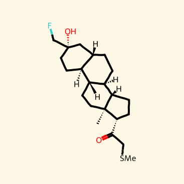 CSCC(=O)[C@H]1CC[C@H]2[C@@H]3CC[C@H]4C[C@](O)(CF)CC[C@@H]4[C@H]3CC[C@]12C